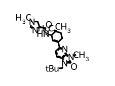 CN1C=NC(C(=O)NC2C=C(c3ccc4c(n3)n(C)c(=O)n4CC(C)(C)C)CCC2(C)C)C1